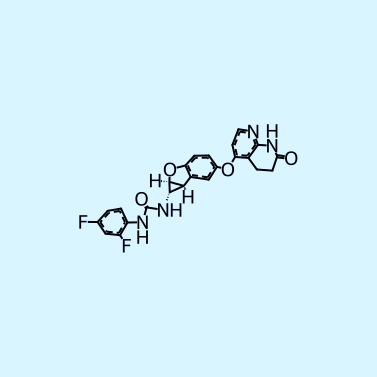 O=C1CCc2c(Oc3ccc4c(c3)[C@H]3[C@H](NC(=O)Nc5ccc(F)cc5F)[C@H]3O4)ccnc2N1